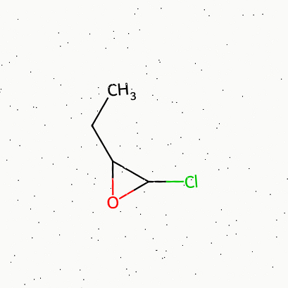 CCC1OC1Cl